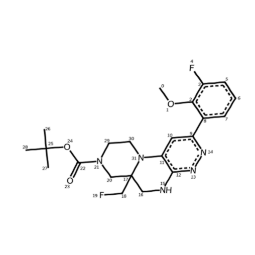 COc1c(F)cccc1-c1cc2c(nn1)NCC1(CF)CN(C(=O)OC(C)(C)C)CCN21